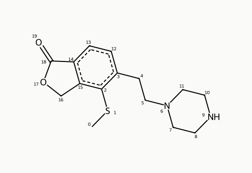 CSc1c(CCN2CCNCC2)ccc2c1COC2=O